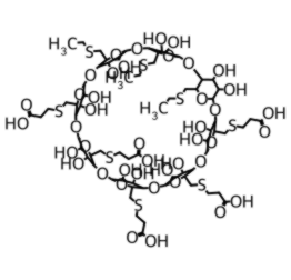 CCSCC1OC2OC3C(CSCC)OC(OC4C(CSCCC(=O)O)OC(OC5C(CSCCC(=O)O)OC(OC6C(CSCCC(=O)O)OC(OC7C(CSCCC(=O)O)OC(OC8C(CSCCC(=O)O)OC(OC9C(CSCC)OC(OC1C(O)C2O)C(O)C9O)C(O)C8O)C(O)C7O)C(O)C6O)C(O)C5O)C(O)C4O)C(O)C3O